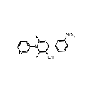 CC1=CC(c2cccc([N+](=O)[O-])c2)C(C#N)=C(C)N1c1cccnc1